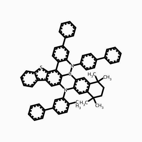 Cc1ccc(-c2ccccc2)cc1N1c2cc3c(cc2B2c4c1cc1c(sc5ccccc51)c4-c1ccc(-c4ccccc4)cc1N2c1ccc(-c2ccccc2)cc1)C(C)(C)CCC3(C)C